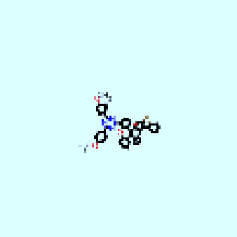 COc1ccc(-c2nc(-c3ccc(OC)cc3)nc(-c3cccc4c3Oc3ccccc3C43c4ccccc4-c4c3ccc3sc5ccccc5c43)n2)cc1